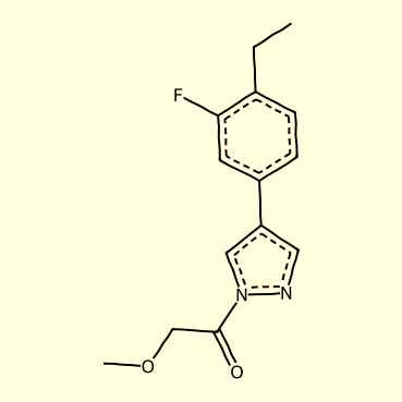 CCc1ccc(-c2cnn(C(=O)COC)c2)cc1F